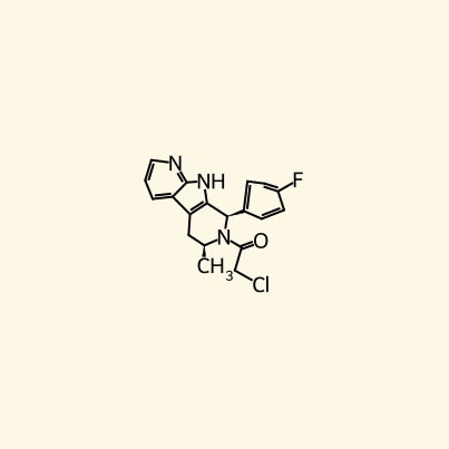 C[C@H]1Cc2c([nH]c3ncccc23)[C@@H](c2ccc(F)cc2)N1C(=O)CCl